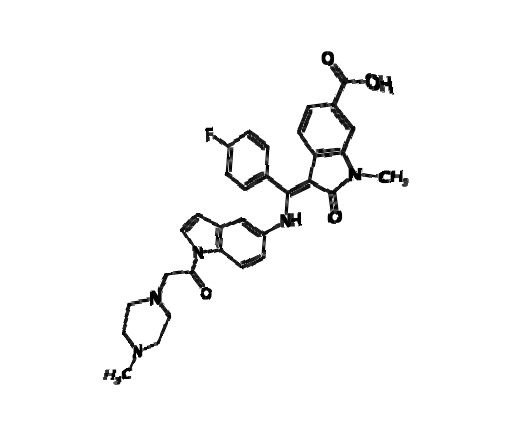 CN1CCN(CC(=O)n2ccc3cc(NC(=C4C(=O)N(C)c5cc(C(=O)O)ccc54)c4ccc(F)cc4)ccc32)CC1